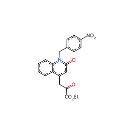 CCOC(=O)C(=O)Cc1cc(=O)n(Cc2ccc([N+](=O)[O-])cc2)c2ccccc12